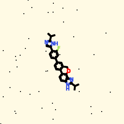 CC(C)c1ncc(-c2ccc(-c3ccc4c(c3)COc3c-4ccc4[nH]c(C(C)C)nc34)cc2F)[nH]1